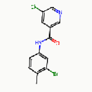 Cc1ccc(NC(=O)c2cncc(Cl)c2)cc1Br